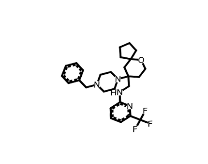 FC(F)(F)c1cccc(NCC2(N3CCN(Cc4ccccc4)CC3)CCOC3(CCCC3)C2)n1